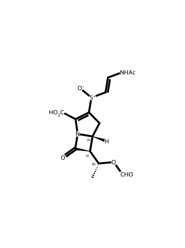 CC(=O)NC=C[S+]([O-])C1=C(C(=O)O)N2C(=O)[C@H]([C@@H](C)OC=O)[C@H]2C1